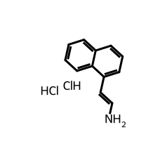 Cl.Cl.NC=Cc1cccc2ccccc12